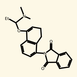 CCC(OC1=CCCc2c1cccc2N1C(=O)c2ccccc2C1=O)N(C)C